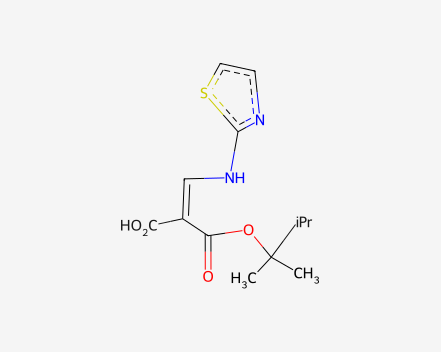 CC(C)C(C)(C)OC(=O)C(=CNc1nccs1)C(=O)O